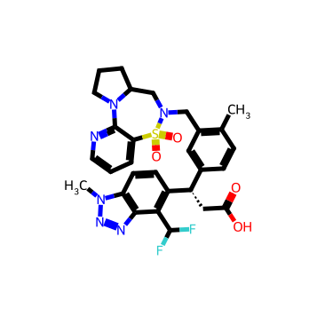 Cc1ccc([C@H](CC(=O)O)c2ccc3c(nnn3C)c2C(F)F)cc1CN1CC2CCCN2c2ncccc2S1(=O)=O